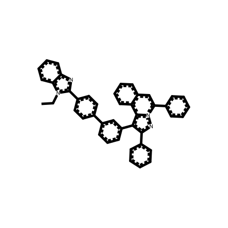 CCn1c(-c2ccc(-c3cccc(-c4c(-c5ccccc5)nn5c(-c6ccccc6)cc6ccccc6c45)c3)cc2)nc2ccccc21